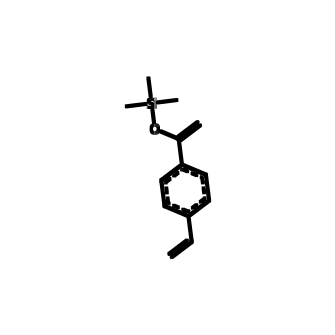 C=Cc1ccc(C(=C)O[Si](C)(C)C)cc1